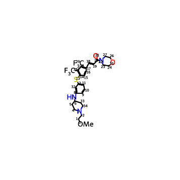 COCCN1CCC(Nc2cccc(Sc3ccc(C=CC(=O)N4CCOCC4)c(C(F)(F)F)c3C(F)(F)F)c2)CC1